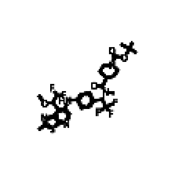 CO[C@H](c1c(Nc2ccc([C@H](N(C)C(=O)C3CCN(C(=O)OC(C)(C)C)CC3)C(F)(F)F)cc2)cnc2sc(C)nc12)C(F)F